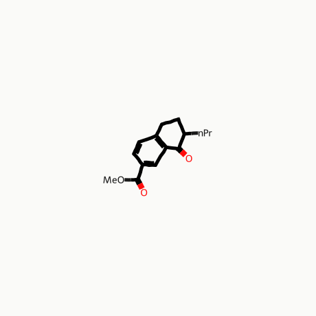 CCCC1CCc2ccc(C(=O)OC)cc2C1=O